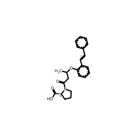 CC(CC(=O)N1CCC[C@H]1C(=O)O)Oc1ccccc1/C=C/c1ccccc1